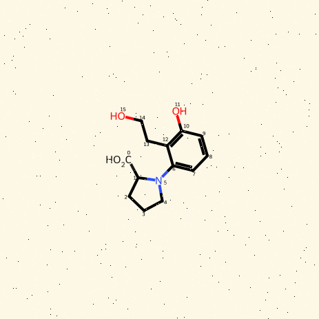 O=C(O)C1CCCN1c1cccc(O)c1CCO